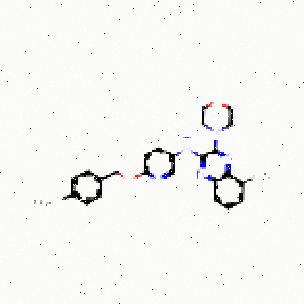 COc1ccc(COc2ccc(Nc3nc4cccc(C#N)c4nc3N3CCOCC3)cn2)cc1